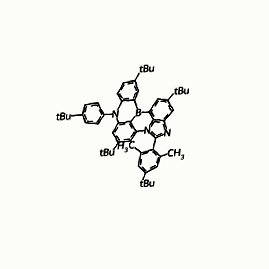 Cc1cc(C(C)(C)C)cc(C)c1-c1nc2cc(C(C)(C)C)cc3c2n1-c1cc(C(C)(C)C)cc2c1B3c1cc(C(C)(C)C)ccc1N2c1ccc(C(C)(C)C)cc1